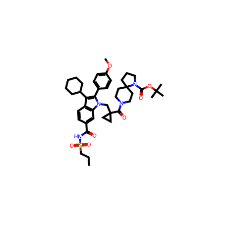 CCCS(=O)(=O)NC(=O)c1ccc2c(C3CCCCC3)c(-c3ccc(OC)cc3)n(CC3(C(=O)N4CCC5(CCCN5C(=O)OC(C)(C)C)CC4)CC3)c2c1